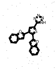 c1ccc2oc(-c3cc(-c4nnn[nH]4)sc3-c3cc4ccccc4o3)cc2c1